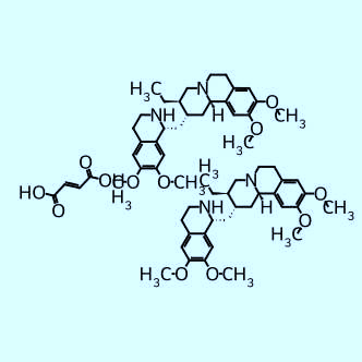 CC[C@H]1CN2CCc3cc(OC)c(OC)cc3[C@@H]2C[C@@H]1C[C@H]1NCCc2cc(OC)c(OC)cc21.CC[C@H]1CN2CCc3cc(OC)c(OC)cc3[C@@H]2C[C@@H]1C[C@H]1NCCc2cc(OC)c(OC)cc21.O=C(O)/C=C/C(=O)O